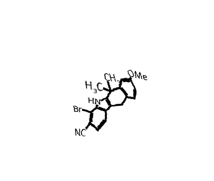 COc1ccc2c(c1)C(C)(C)c1[nH]c3c(Br)c(C#N)ccc3c1C2